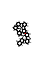 c1ccc(C2(n3c4ccccc4c4ccc(N(c5ccc6ccccc6c5)c5cccc6sc7ccccc7c56)cc43)c3ccccc3-c3ccccc32)cc1